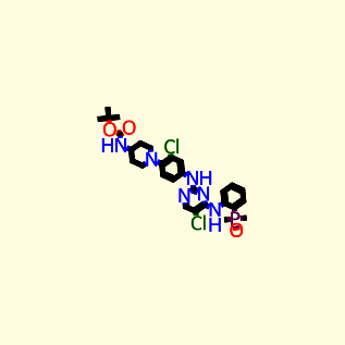 CC(C)(C)OC(=O)NC1CCN(c2ccc(Nc3ncc(Cl)c(Nc4ccccc4P(C)(C)=O)n3)cc2Cl)CC1